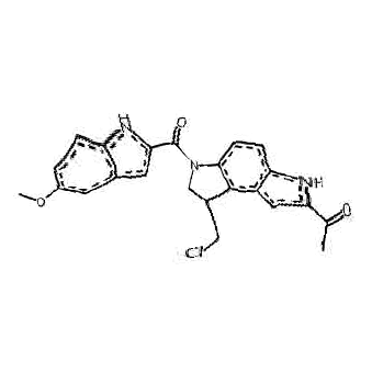 COc1ccc2[nH]c(C(=O)N3CC(CCl)c4c3ccc3[nH]c(C(C)=O)cc43)cc2c1